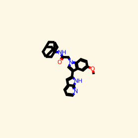 COc1ccc2c(c1)c(-c1cc3cccnc3[nH]1)cn2CC(=O)NC12CC3CC(CC(C3)C1)C2